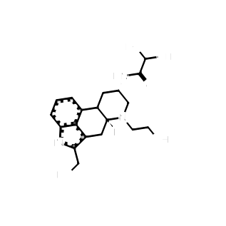 CCCN1C[C@@H](NC(=O)C(C)C)CC2c3cccc4[nH]c(CC)c(c34)C[C@H]21